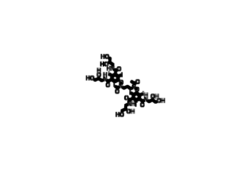 CC(=O)N(CCCN(Oc1c(I)c(C(=O)NCC(O)CO)c(I)c(C(=O)NCC(O)CO)c1I)C(C)=O)Oc1c(I)c(C(=O)NCC(O)CO)c(I)c(C(=O)NCC(O)CO)c1I